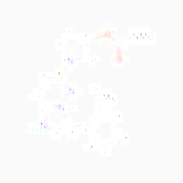 CNC(=O)OC1CCN(c2ccc3ncc(-c4ccccc4OC)n3n2)C1